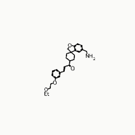 CCOCCOc1cccc(/C=C/C(=O)C2CCC3(CC2)COc2ccc(CN)cc23)c1